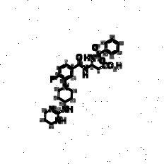 O=C(O)CC(NC(=O)c1ccc(F)c(N2CCC(NC3=NCCCN3)CC2)c1)NS(=O)(=O)c1ccccc1